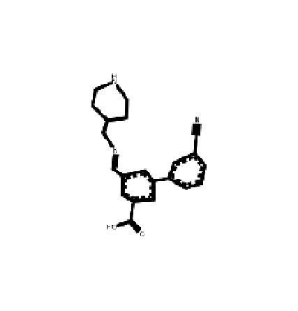 N#Cc1cccc(-c2cc(C=NCC3CCNCC3)cc(C(=O)O)c2)c1